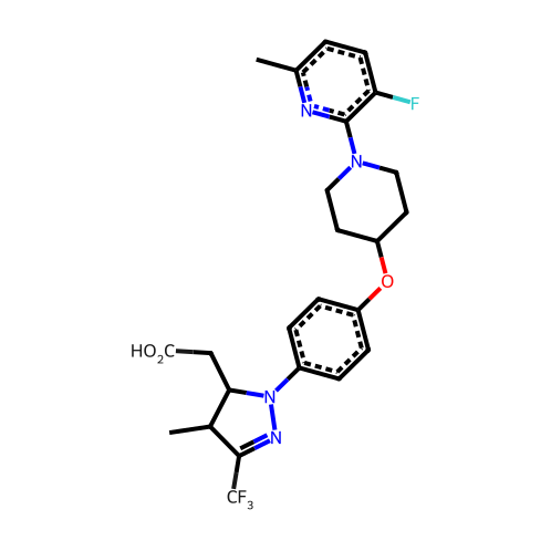 Cc1ccc(F)c(N2CCC(Oc3ccc(N4N=C(C(F)(F)F)C(C)C4CC(=O)O)cc3)CC2)n1